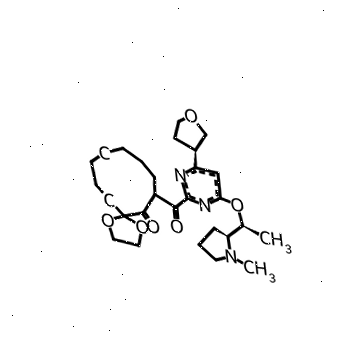 C[C@H](Oc1cc([C@H]2CCOC2)nc(C(=O)C2CCCCCCCC3(OCCO3)C2=O)n1)[C@@H]1CCCN1C